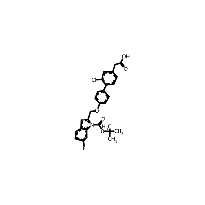 CC(C)(C)OC(=O)n1c(COc2ccc(-c3ccc(CC(=O)O)cc3Cl)cc2)cc2ccc(F)cc21